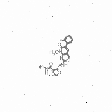 CC(C)NC(=O)[C@@H]1OCO[C@H]1CNc1ncc2cc(-c3ccccc3F)c(=O)n(C)c2n1